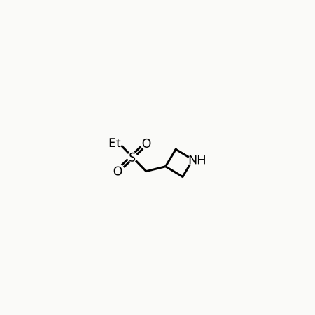 CCS(=O)(=O)CC1CNC1